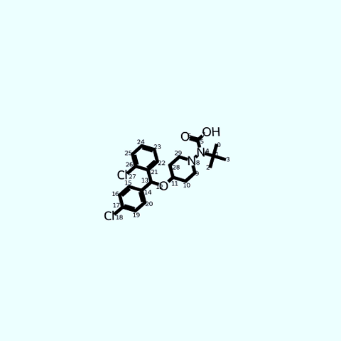 CC(C)(C)N(C(=O)O)N1CCC(OC(c2ccc(Cl)cc2)c2ccccc2Cl)CC1